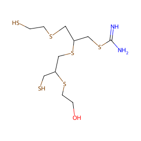 N=C(N)SCC(CSCCS)SCC(CS)SCCO